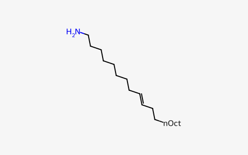 CCCCCCCCCCC=CCCCCCCCCN